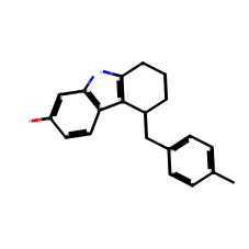 Cc1ccc(CC2CCCc3[nH]c4cc(O)ccc4c32)cc1